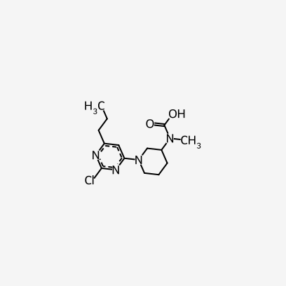 CCCc1cc(N2CCCC(N(C)C(=O)O)C2)nc(Cl)n1